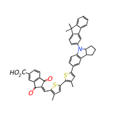 Cc1cc(-c2sc(-c3ccc4c(c3)C3CCCC3N4c3ccc4c(c3)-c3ccccc3C4(C)C)cc2C)sc1/C=C1\C(=O)c2ccc(C(=O)O)cc2C1=O